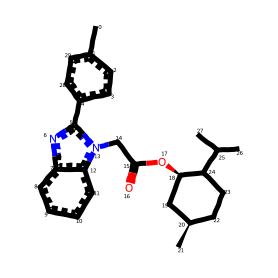 Cc1ccc(-c2nc3ccccc3n2CC(=O)O[C@@H]2C[C@H](C)CCC2C(C)C)cc1